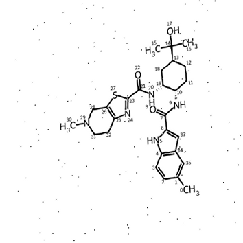 Cc1ccc2[nH]c(C(=O)N[C@H]3CC[C@H](C(C)(C)O)C[C@H]3NC(=O)c3nc4c(s3)CN(C)CC4)cc2c1